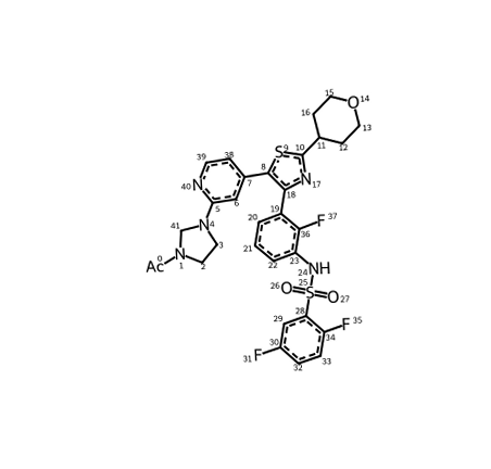 CC(=O)N1CCN(c2cc(-c3sc(C4CCOCC4)nc3-c3cccc(NS(=O)(=O)c4cc(F)ccc4F)c3F)ccn2)C1